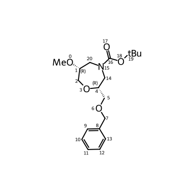 CO[C@H]1CO[C@@H](COCc2ccccc2)CN(C(=O)OC(C)(C)C)C1